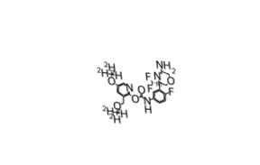 [2H]C([2H])([2H])OCc1cc(OC([2H])([2H])[2H])cnc1OC(=O)Nc1ccc(F)c([C@]2(C(F)F)COCC(N)=N2)c1